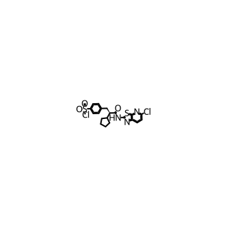 O=C(Nc1nc2ccc(Cl)nc2s1)[C@H](Cc1ccc(S(=O)(=O)Cl)cc1)C1CCCC1